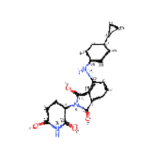 O=C1CCC(N2C(=O)c3cccc(NC4CCC(C5CC5)CC4)c3C2=O)C(=O)N1